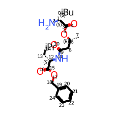 CC[C@H](C)[C@H](N)C(=O)O[C@H](C)CC(=O)N[C@@H](CC(C)C)C(=O)OCc1ccccc1